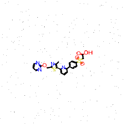 Cc1nc(COc2ncccn2)sc1-c1cccc(-c2ccc(S(=O)(=O)CC(=O)O)cc2)n1